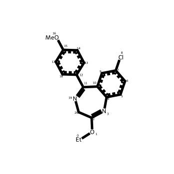 CCOC1=Nc2ccc(Cl)cc2C(c2ccc(OC)cc2)=NC1